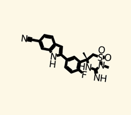 CN1C(=N)N[C@](C)(c2cc(-c3cc4ccc(C#N)cc4[nH]3)ccc2F)CS1(=O)=O